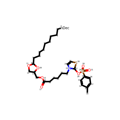 CCCCCCCCCCCCCCCCCCCC1OCC(COC(=O)CCCCCN2C=CSC2OS(=O)(=O)c2ccc(C)cc2)O1